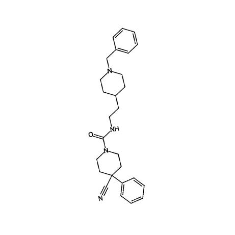 N#CC1(c2ccccc2)CCN(C(=O)NCCC2CCN(Cc3ccccc3)CC2)CC1